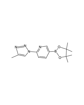 Cc1cn(-c2ccc(B3OC(C)(C)C(C)(C)O3)cn2)nn1